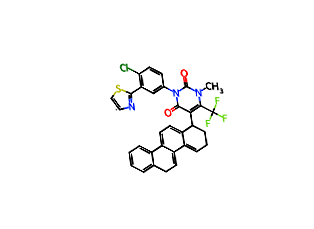 Cn1c(C(F)(F)F)c(C2CCC=c3c2ccc2c3=CCc3ccccc3-2)c(=O)n(-c2ccc(Cl)c(-c3n[c]cs3)c2)c1=O